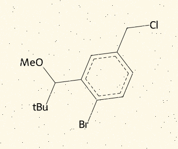 COC(c1cc(CCl)ccc1Br)C(C)(C)C